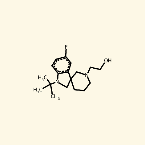 CC(C)(C)N1CC2(CCCN(CCO)C2)c2cc(F)ccc21